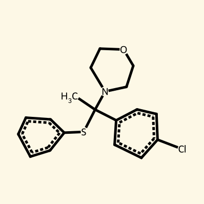 CC(Sc1ccccc1)(c1ccc(Cl)cc1)N1CCOCC1